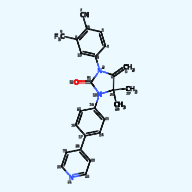 C=C1N(c2ccc(C#N)c(C(F)(F)F)c2)C(=O)N(c2ccc(-c3ccncc3)cc2)C1(C)C